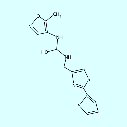 Cc1oncc1NC(O)NCc1csc(-c2cccs2)n1